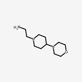 NCCN1CCC(N2CCOCC2)CC1